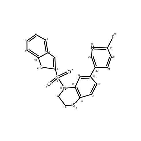 O=S(=O)(c1cc2ccccc2s1)N1CCSc2ccc(-c3ccc(F)nc3)cc21